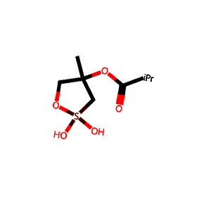 CC(C)C(=O)OC1(C)COS(O)(O)C1